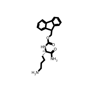 NCCCC[C@H](NC(=O)OCC1c2ccccc2-c2ccccc21)C(N)=O